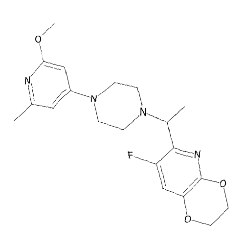 COc1cc(N2CCN(C(C)c3nc4c(cc3F)OCCO4)CC2)cc(C)n1